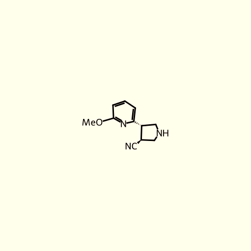 COc1cccc([C@@H]2CNC[C@H]2C#N)n1